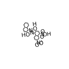 O=[N+]([O-])c1ccc2c(N=Nc3c(O)ccc4ccccc34)c(O)cc(S(=O)(=O)O)c2c1